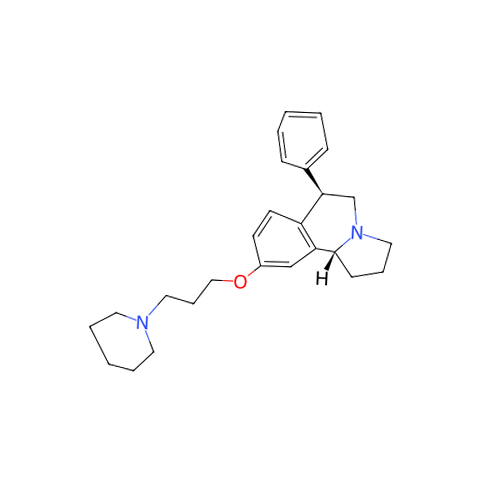 c1ccc([C@H]2CN3CCC[C@@H]3c3cc(OCCCN4CCCCC4)ccc32)cc1